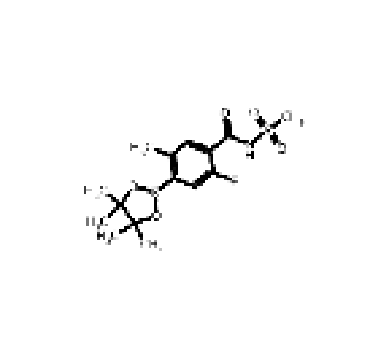 Cc1cc(C(=O)NS(C)(=O)=O)c(F)cc1B1OC(C)(C)C(C)(C)O1